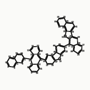 c1ccc2cc(-c3c4ccccc4c(-c4ccc5oc6cc(-c7c8ccccc8cc8c7oc7c9ccccc9ccc87)ccc6c5c4)c4ccccc34)ccc2c1